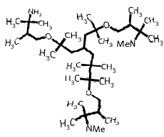 CNC(C)(C)C(C)COC(C)(C)CC(CC(C)(C)OCC(C)C(C)(C)N)CC(C)(C)C(C)(C)OCC(C)C(C)(C)NC